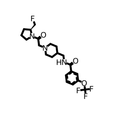 O=C(NCC1CCN(CC(=O)N2CCC[C@H]2CF)CC1)c1cccc(OC(F)(F)F)c1